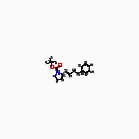 CC(C)(C)OC(=O)N1CCC[C@H]1C=CCCc1ccccc1